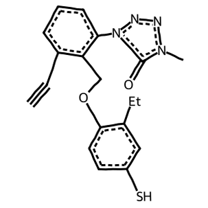 C#Cc1cccc(-n2nnn(C)c2=O)c1COc1ccc(S)cc1CC